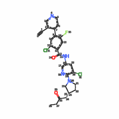 C#Cc1cnccc1-c1cc(Cl)c(C(=O)Nc2cnc(N3CC[C@H](CC(=O)CC)C3)c(Cl)c2)cc1F